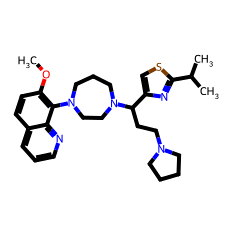 COc1ccc2cccnc2c1N1CCCN(C(CCN2CCCC2)c2csc(C(C)C)n2)CC1